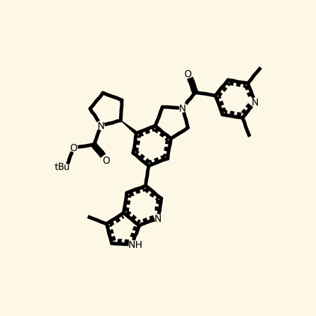 Cc1cc(C(=O)N2Cc3cc(-c4cnc5[nH]cc(C)c5c4)cc([C@@H]4CCCN4C(=O)OC(C)(C)C)c3C2)cc(C)n1